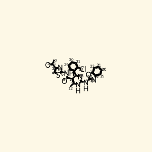 CC(=O)c1csc(NC(=O)C2=C(C)NC(Nc3nc4ccccc4o3)=NC2c2ccccc2Cl)n1